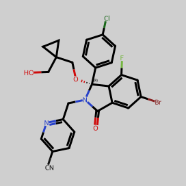 N#Cc1ccc(CN2C(=O)c3cc(Br)cc(F)c3[C@]2(OCC2(CO)CC2)c2ccc(Cl)cc2)nc1